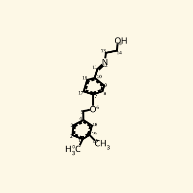 Cc1ccc(COc2ccc(C=NCCO)cc2)cc1C